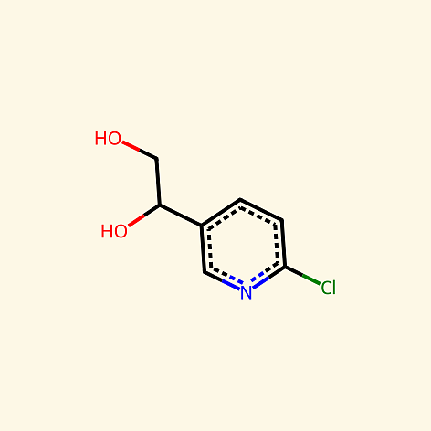 OCC(O)c1ccc(Cl)nc1